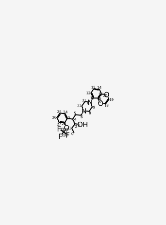 CCC(O)C(CCN1CCN(c2cccc3c2OC=CO3)CC1)c1ccccc1OC(F)(F)F